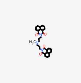 CN(CCCN1C(=O)c2cccc3cccc(c23)C1=O)CCCN1C(=O)c2cccc3cccc(c23)C1=O